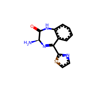 N[C@@H]1N=C(c2nccs2)c2ccccc2NC1=O